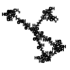 CC(=O)NC1[C@H](OCCCCC(=O)NCCCNC(=O)CCOCC(COCCC(=O)NCCCNC(=O)CCCCO[C@@H]2OC(CO)[C@H](O)C(O)[C@@H]2NC(C)=O)(COCCC(=O)NCCCNC(=O)CCCCO[C@@H]2OC(CO)[C@H](O)C(O)[C@@H]2NC(C)=O)NC(=O)CCCCCCCCCCC(=O)N2C[C@H](O)C[C@H]2COC(C)(C)C)OC(CO)[C@H](O)[C@@H]1O